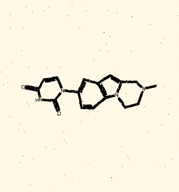 CN1CCn2c(cc3cc(-n4ccc(=O)[nH]c4=O)ccc32)C1